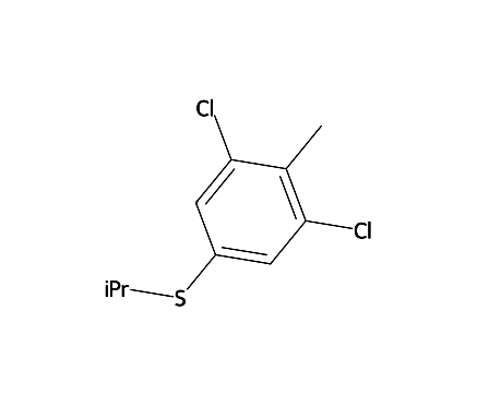 Cc1c(Cl)cc(SC(C)C)cc1Cl